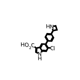 O=C(O)c1c[nH]c2cc(Cl)c(-c3ccc(C4CCN4)cc3)cc12